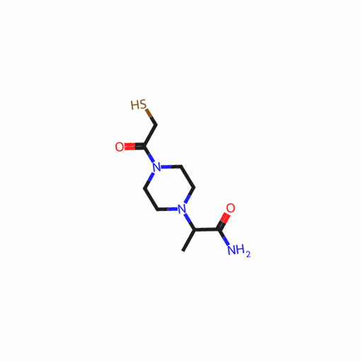 CC(C(N)=O)N1CCN(C(=O)CS)CC1